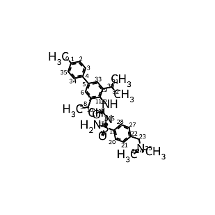 Cc1ccc(-c2cc(C(C)C)c(NC(=O)N=S(N)(=O)c3ccc(CN(C)C)cc3)c(C(C)C)c2)cc1